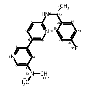 C[C@@H](Nc1ccc(-c2cncc(N(C)C)c2)cn1)c1ccc(F)cc1